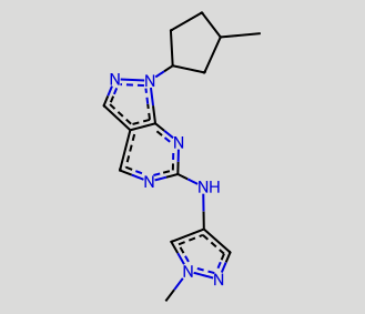 CC1CCC(n2ncc3cnc(Nc4cnn(C)c4)nc32)C1